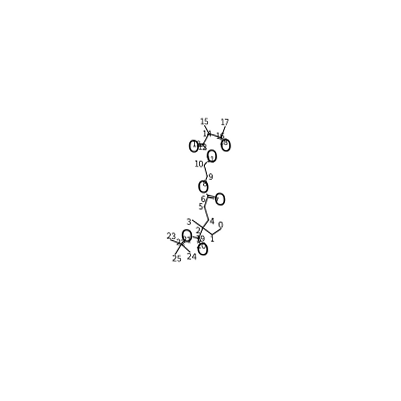 CCC(C)(CCC(=O)OCCOC(=O)C(C)C(C)=O)C(=O)OC(C)(C)C